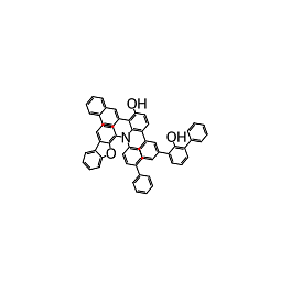 Oc1ccc(-c2cccc(-c3cccc(-c4ccccc4)c3O)c2)c(N(c2ccc(-c3ccccc3)cc2)c2cccc3c2oc2ccccc23)c1-c1ccc2ccccc2c1